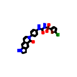 O=C(Nc1ccc(-n2ccc3cc4c(cc3c2=O)CCN4)cc1)NS(=O)(=O)c1ccc(Cl)s1